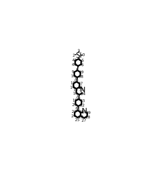 C[Si](C)(C)c1ccc(-c2ccc(-c3ccc4cc(-c5ccc(-c6cccc7cccnc67)cc5)cnc4c3)cc2)cc1